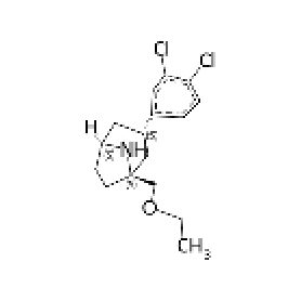 CCOC[C@]12CC[C@@H](C[C@H](c3ccc(Cl)c(Cl)c3)C1)N2